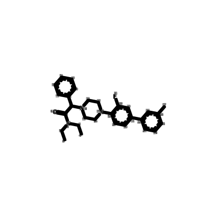 CCN(CC)C(=O)C(c1ccccc1)N1CCN(c2ccc(-c3cccc(C)c3)cc2F)CC1